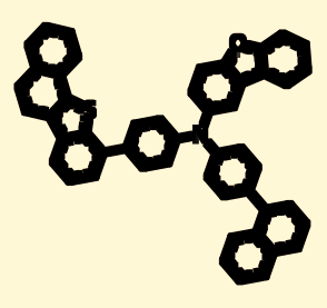 c1ccc2c(-c3ccc(N(c4ccc(-c5cccc6c5sc5c7ccccc7ccc65)cc4)c4ccc5oc6ccccc6c5c4)cc3)cccc2c1